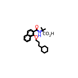 CC(C)(NC(=O)c1ccc2ccccc2c1OCCCC1CCCCC1)C(=O)O